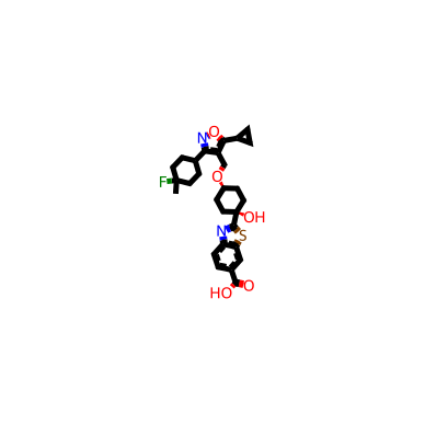 CC1(F)CCC(c2noc(C3CC3)c2CO[C@H]2CC[C@](O)(c3nc4ccc(C(=O)O)cc4s3)CC2)CC1